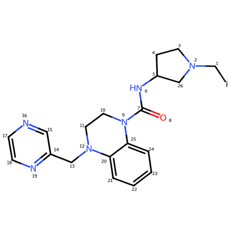 CC(C)CN1CCC(NC(=O)N2CCN(Cc3cnccn3)c3ccccc32)C1